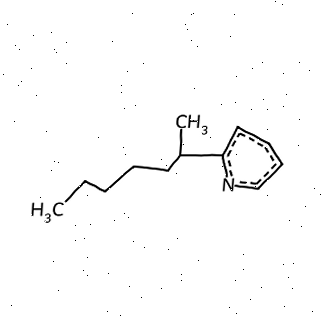 CCCCCC(C)c1ccccn1